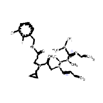 C=C/C=C/N(CC(=O)N(CC(=O)NCc1cccc(Cl)c1F)C1CC1)N(C)N(C)/C(=N\C=C)N(C)C